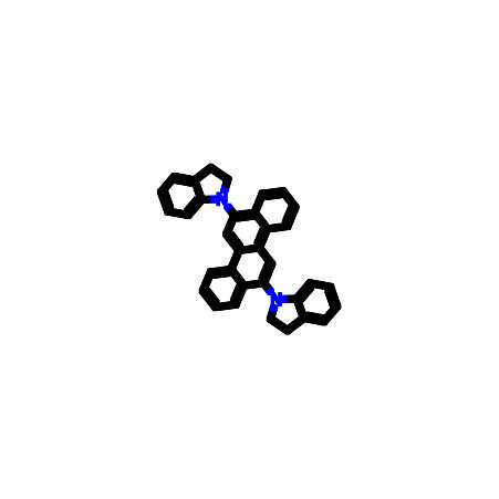 c1ccc2c(c1)CCN2c1cc2c3ccccc3c(N3CCc4ccccc43)cc2c2ccccc12